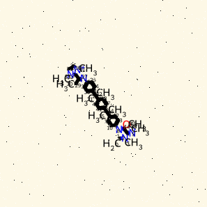 C=CN(C)C(=N/C)/C(=N/c1ccc(C(C)(C)c2ccc(C(C)(C)c3ccc(/N=C(\CC)c4n(C)cc[n+]4C)cc3)cc2)cc1)OC